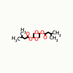 CC(C)CC(=O)OC1COC(OC(=O)CC(C)C)CO1